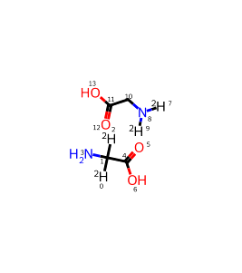 [2H]C([2H])(N)C(=O)O.[2H]N([2H])CC(=O)O